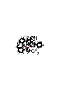 C[C@@H](N1CN([C@@H]2c3ccccc3SCc3cccc(N(C)C)c32)N2C=C(Cl)C(O)C(OCc3ccccc3)=C2C1=O)C(F)(F)F